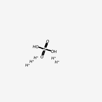 O=S(=O)(O)O.[H+].[H+].[H+].[H+].[H+]